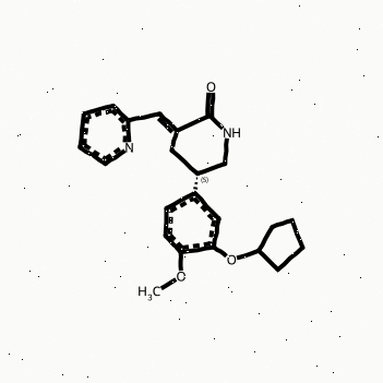 COc1ccc([C@H]2CNC(=O)C(=Cc3ccccn3)C2)cc1OC1CCCC1